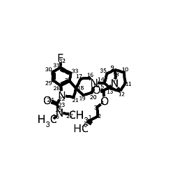 C#CCCOC(=O)N1CC2CCC1CC(N1CCC3(CC1)CN(C(=O)N(C)C)c1ccc(F)cc13)C2